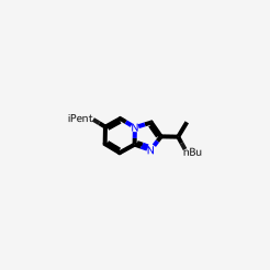 CCCCC(C)c1cn2cc(C(C)CCC)ccc2n1